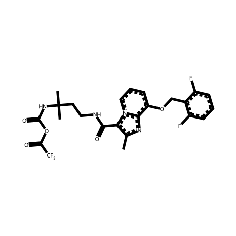 Cc1nc2c(OCc3c(F)cccc3F)cccn2c1C(=O)NCCC(C)(C)NC(=O)OC(=O)C(F)(F)F